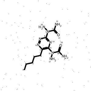 CCCCCc1nnc(N(N)C(N)=O)nc1N(N)C(N)=O